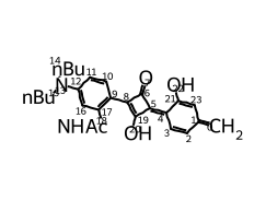 C=c1cc/c(=C2/C(=O)C(c3ccc(N(CCCC)CCCC)cc3NC(C)=O)=C2O)c(O)c1